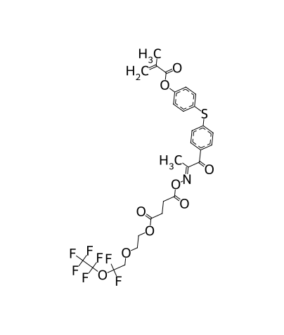 C=C(C)C(=O)Oc1ccc(Sc2ccc(C(=O)/C(C)=N/OC(=O)CCC(=O)OCCOCC(F)(F)OC(F)(F)C(F)(F)F)cc2)cc1